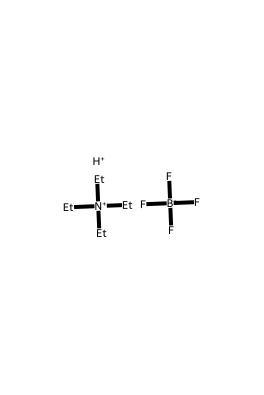 CC[N+](CC)(CC)CC.F[B-](F)(F)F.[H+]